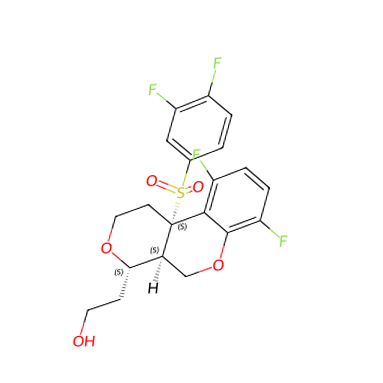 O=S(=O)(c1ccc(F)c(F)c1)[C@@]12CCO[C@@H](CCO)[C@@H]1COc1c(F)ccc(F)c12